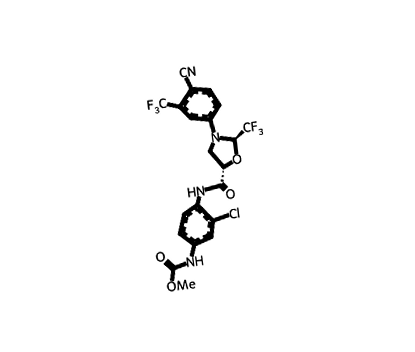 COC(=O)Nc1ccc(NC(=O)[C@@H]2CN(c3ccc(C#N)c(C(F)(F)F)c3)[C@@H](C(F)(F)F)O2)c(Cl)c1